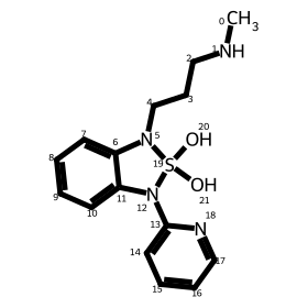 CNCCCN1c2ccccc2N(c2ccccn2)S1(O)O